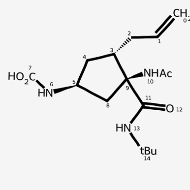 C=CC[C@H]1C[C@H](NC(=O)O)C[C@@]1(NC(C)=O)C(=O)NC(C)(C)C